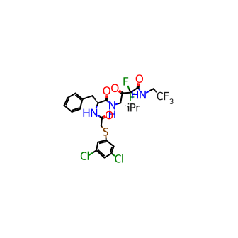 CC(C)[C@H](NC(=O)[C@H](Cc1ccccc1)NC(=O)CSc1cc(Cl)cc(Cl)c1)C(=O)C(F)(F)C(=O)NCC(F)(F)F